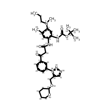 CCCN(C)c1cc(NC(=O)OC(C)(C)C)c(NC(=O)CC(=O)c2cccc(-n3nncc3COC3CCCCO3)c2)cc1C